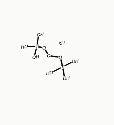 [KH].[OH][Ti]([OH])([OH])[O]O[O][Ti]([OH])([OH])[OH]